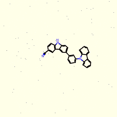 N#Cc1ccc2[nH]c3ccc(-c4cccc(-n5c6ccccc6c6ccccc65)c4)cc3c2c1